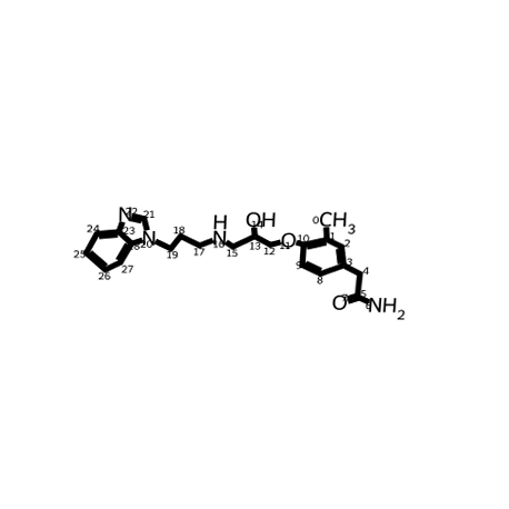 Cc1cc(CC(N)=O)ccc1OCC(O)CNCCCn1cnc2ccccc21